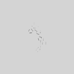 CC1(C)OC(=C2C(=O)Nc3ccc(F)cc32)C=C1c1ccc(NCCN2CCCC2)nc1